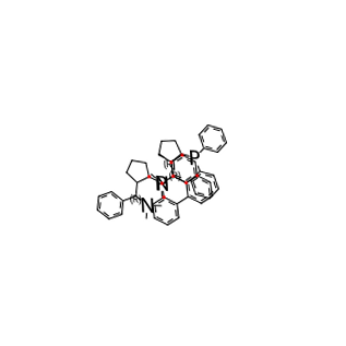 CN(C)[C@@H](c1ccccc1)C1CCCC1P(c1ccccc1)c1ccccc1-c1ccccc1[C@@H]([C@H]1CCCC1P(c1ccccc1)c1ccccc1)N(C)C